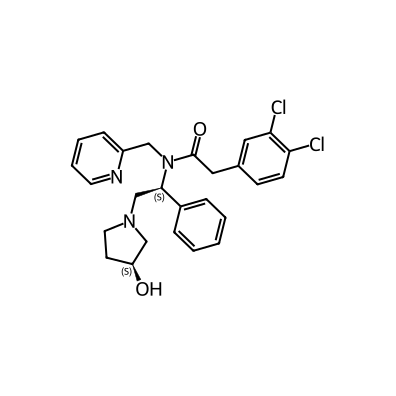 O=C(Cc1ccc(Cl)c(Cl)c1)N(Cc1ccccn1)[C@H](CN1CC[C@H](O)C1)c1ccccc1